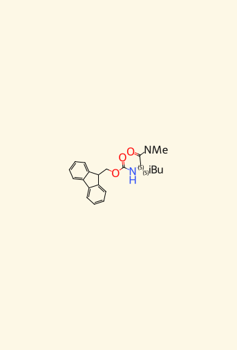 CC[C@H](C)[C@H](NC(=O)OCC1c2ccccc2-c2ccccc21)C(=O)NC